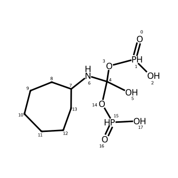 O=[PH](O)OC(O)(NC1CCCCCC1)O[PH](=O)O